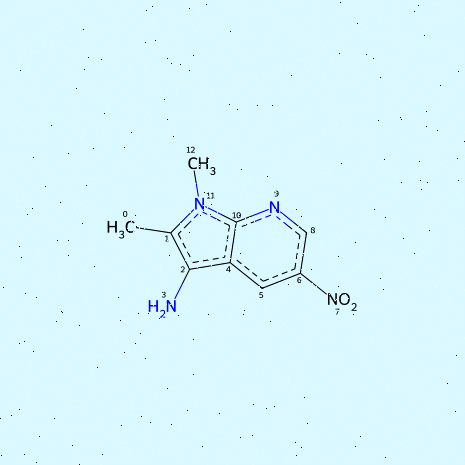 Cc1c(N)c2cc([N+](=O)[O-])cnc2n1C